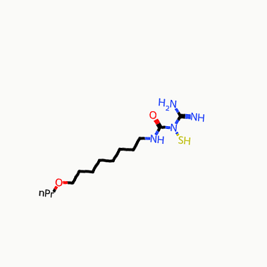 CCCOCCCCCCCCNC(=O)N(S)C(=N)N